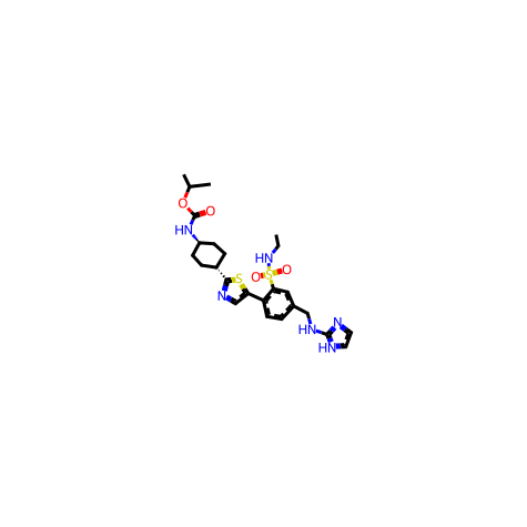 CCNS(=O)(=O)c1cc(CNc2ncc[nH]2)ccc1-c1cnc([C@H]2CC[C@H](NC(=O)OC(C)C)CC2)s1